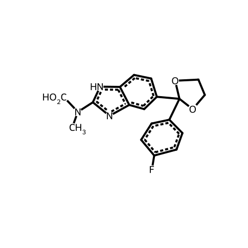 CN(C(=O)O)c1nc2cc(C3(c4ccc(F)cc4)OCCO3)ccc2[nH]1